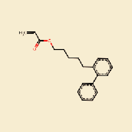 C=CC(=O)OCCCCCc1ccccc1-c1ccccc1